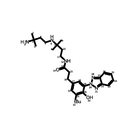 CC(C)(N)CCNC(C)(C)CCNC(=O)CCc1cc(-n2nc3ccccc3n2)c(O)c(C(C)(C)C)c1